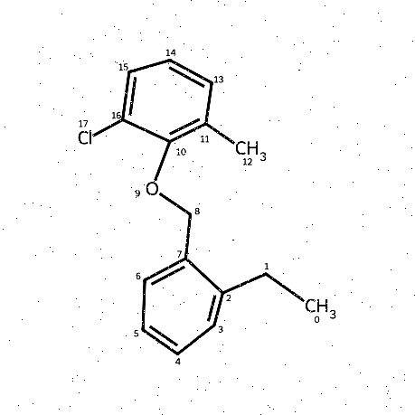 CCc1ccccc1COc1c(C)cccc1Cl